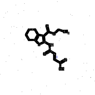 CCOC(=O)c1c(NC(=O)/C=C/C(=O)O)sc2c1CCCC2